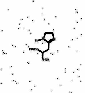 CCCCCCC(CCCCC)Cc1nccn1CC